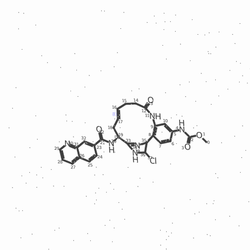 COC(=O)Nc1ccc2c(c1)NC(=O)CC/C=C/C[C@H](NC(=O)c1ccc3cccnc3c1)C1=NC2C(Cl)N1